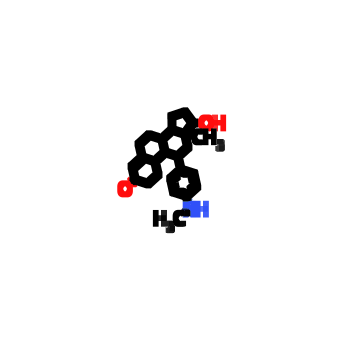 CNc1ccc(C2CC3(C)C(O)CCC3C3CCC4=CC(=O)CCC4C23)cc1